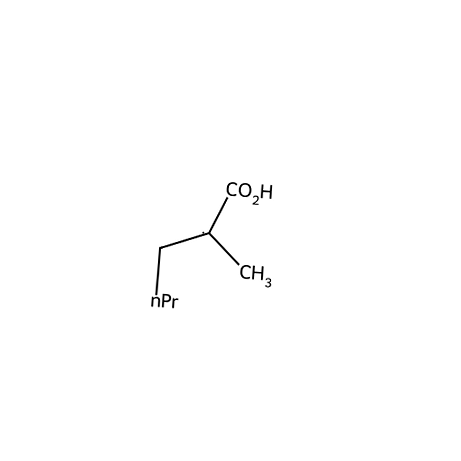 CCCC[C](C)C(=O)O